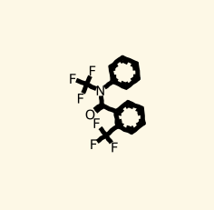 O=C(c1ccccc1C(F)(F)F)N(c1ccccc1)C(F)(F)F